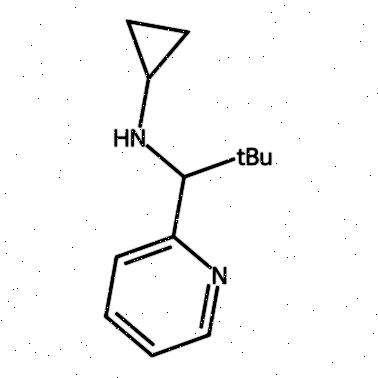 CC(C)(C)C(NC1CC1)c1ccccn1